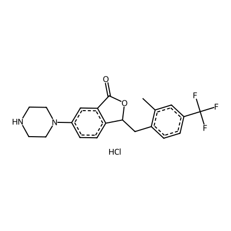 Cc1cc(C(F)(F)F)ccc1CC1OC(=O)c2cc(N3CCNCC3)ccc21.Cl